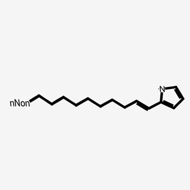 CCCCCCCCCCCCCCCCC/C=C/C1=CC=C[N]1